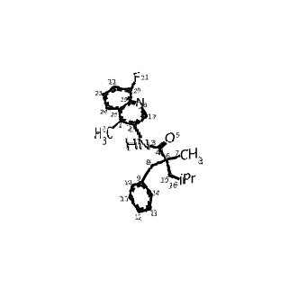 Cc1c(NC(=O)C(C)(Cc2ccccc2)CC(C)C)cnc2c(F)cccc12